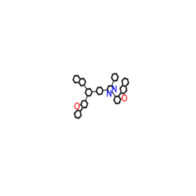 c1ccc(-c2cc(-c3ccc(-c4cc(-c5ccc6ccccc6c5)cc(-c5ccc6c(c5)oc5ccccc56)c4)cc3)nc(-c3cccc4oc5cc6ccccc6cc5c34)n2)cc1